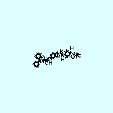 CC(C)(C)OC(=O)NC1CCC(NC(=N)N2Cc3ccc(OC[C@@H](O)C(=O)OC(c4ccccc4)c4ccccc4)cc3C2)CC1